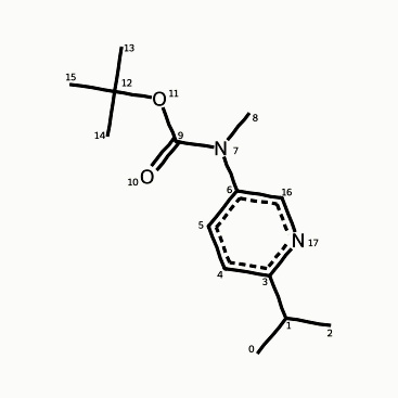 CC(C)c1ccc(N(C)C(=O)OC(C)(C)C)cn1